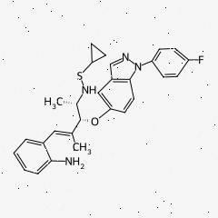 C/C(=C\c1ccccc1N)[C@@H](Oc1ccc2c(cnn2-c2ccc(F)cc2)c1)[C@H](C)NSC1CC1